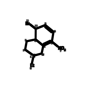 CCN1CCC2C(=C([N+](=O)[O-])C=CC2Br)C1